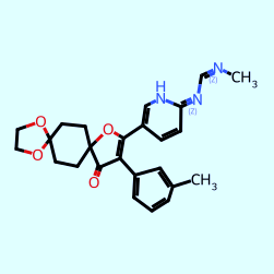 C/N=C\N=c1\ccc(C2=C(c3cccc(C)c3)C(=O)C3(CCC4(CC3)OCCO4)O2)c[nH]1